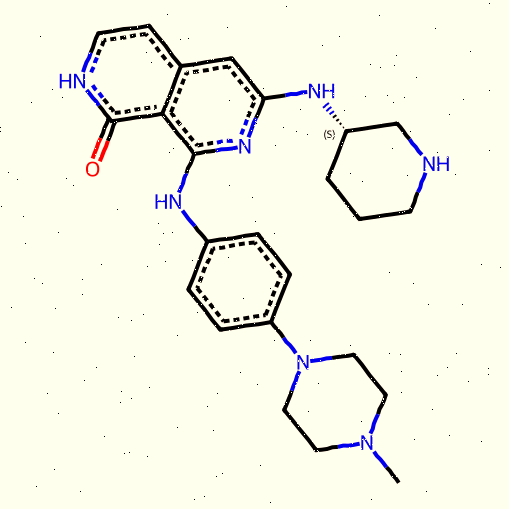 CN1CCN(c2ccc(Nc3nc(N[C@H]4CCCNC4)cc4cc[nH]c(=O)c34)cc2)CC1